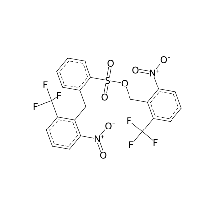 O=[N+]([O-])c1cccc(C(F)(F)F)c1COS(=O)(=O)c1ccccc1Cc1c([N+](=O)[O-])cccc1C(F)(F)F